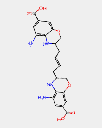 Nc1cc(C(=O)O)cc2c1NC(C/C=C/CC1COc3cc(C(=O)O)cc(N)c3N1)CO2